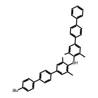 CCC(C)c1ccc(-c2ccc(-c3cc(C)c(Bc4c(C)cc(-c5ccc(-c6ccccc6)cc5)cc4C)c(C)c3)cc2)cc1